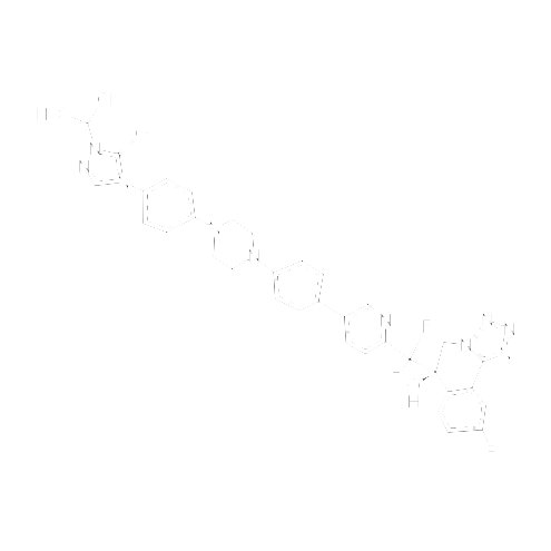 CC(C)n1ncn(-c2ccc(N3CCN(c4ccc(-c5ccc(C(F)(F)[C@]6(O)Cn7nnnc7-c7cc(F)ccc76)nc5)cc4)CC3)cc2)c1=O